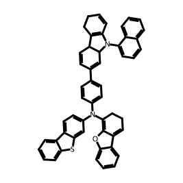 C1=CC2=C(CC1)C1C=CC(c3ccc(N(C4=c5oc6ccccc6c5=CCC4)c4ccc5c(c4)sc4ccccc45)cc3)=CC1N2c1cccc2ccccc12